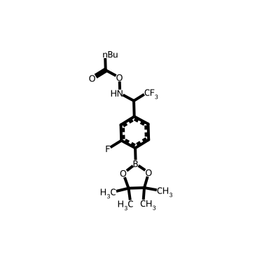 CCCCC(=O)ONC(c1ccc(B2OC(C)(C)C(C)(C)O2)c(F)c1)C(F)(F)F